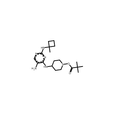 CC1(Nc2ncc(N)c(NC3CCN(OC(=O)C(C)(C)C)CC3)n2)CCC1